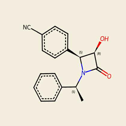 C[C@@H](c1ccccc1)N1C(=O)[C@H](O)[C@@H]1c1ccc(C#N)cc1